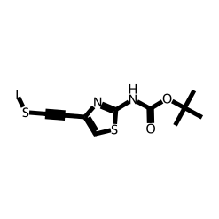 CC(C)(C)OC(=O)Nc1nc(C#CSI)cs1